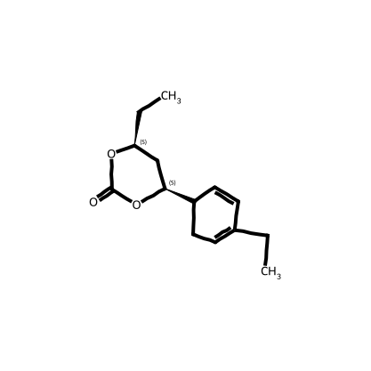 CCC1=CCC([C@@H]2C[C@H](CC)OC(=O)O2)C=C1